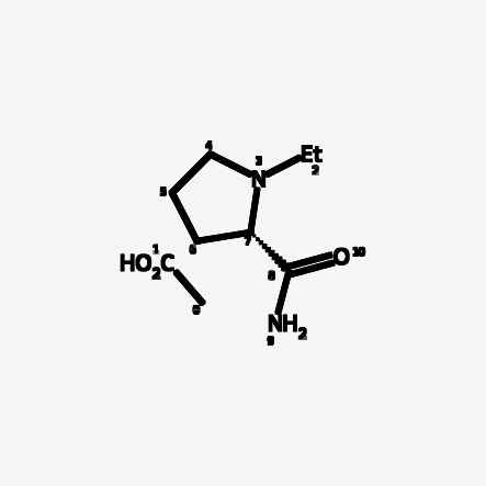 CC(=O)O.CCN1CCC[C@H]1C(N)=O